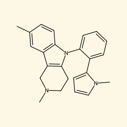 Cc1ccc2c(c1)c1c(n2-c2ccccc2-c2cccn2C)CCN(C)C1